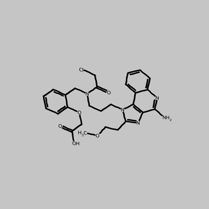 COCCc1nc2c(N)nc3ccccc3c2n1CCCN(Cc1ccccc1OCC(=O)O)C(=O)CCl